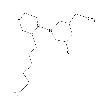 CCCCCCC1COCCN1N1CC(C)CC(CC)C1